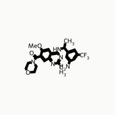 COc1cc2c(NC(C)c3cc(N)cc(C(F)(F)F)c3)nc(C)nc2cc1C(=O)N1CCOCC1